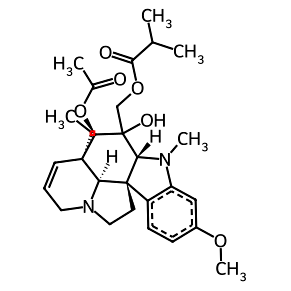 CC[C@]12C=CCN3CC[C@@]4(c5ccc(OC)cc5N(C)[C@H]4C(O)(COC(=O)C(C)C)[C@@H]1OC(C)=O)[C@@H]32